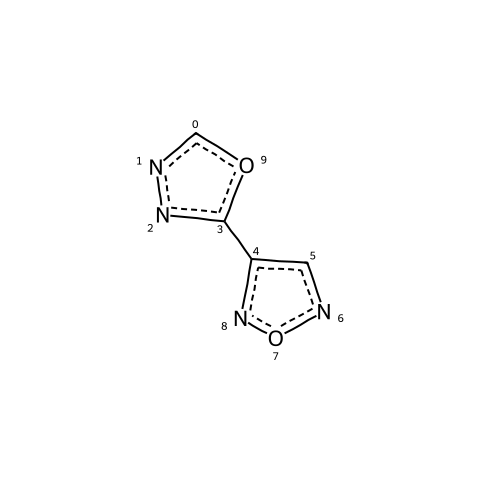 c1nnc(-c2cnon2)o1